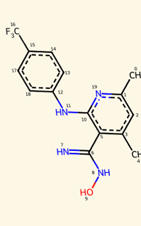 Cc1cc(C)c(C(=N)NO)c(Nc2ccc(C(F)(F)F)cc2)n1